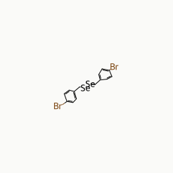 Brc1ccc(C[Se][Se]Cc2ccc(Br)cc2)cc1